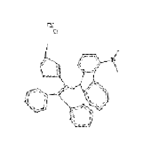 CC1=CC[C]([Zr+2](=[C](c2ccccc2)c2ccccc2)[CH]2c3ccccc3-c3c2cccc3N(C)C)=C1.[Cl-].[Cl-]